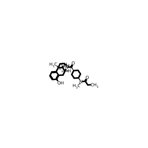 CCC(=O)N(C)[C@H]1CC[C@@H](C(=O)N2CC[C@@]3(C)c4cccc(O)c4C[C@@H]2C3(C)C)CC1